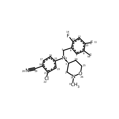 CN1C[C@@H](N(Cc2cc(F)c(F)cc2F)c2ccc(C#N)c(Cl)c2)CCO1